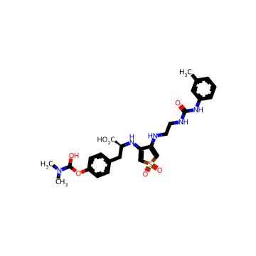 Cc1cccc(NC(=O)NCCNC2=CS(=O)(=O)C=C2N[C@@H](Cc2ccc(OC(O)N(C)C)cc2)C(=O)O)c1